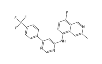 Cc1cc2c(Nc3cc(-c4ccc(C(F)(F)F)cc4)ncn3)ccc(F)c2cn1